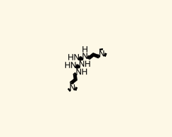 CN(C)CCCNC(=N)NC(=N)NCCCN(C)C